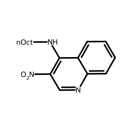 CCCCCCCCNc1c([N+](=O)[O-])cnc2ccccc12